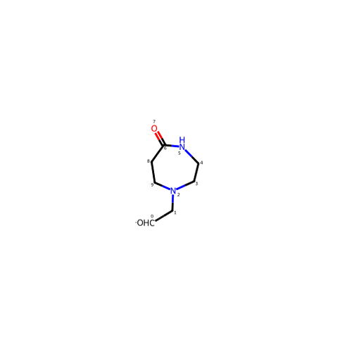 O=[C]CN1CCNC(=O)CC1